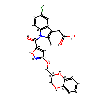 Cc1c(CC(=O)O)c2cc(Cl)ccc2n1C(=O)c1cc(OC[C@@H]2COc3ccccc3O2)no1